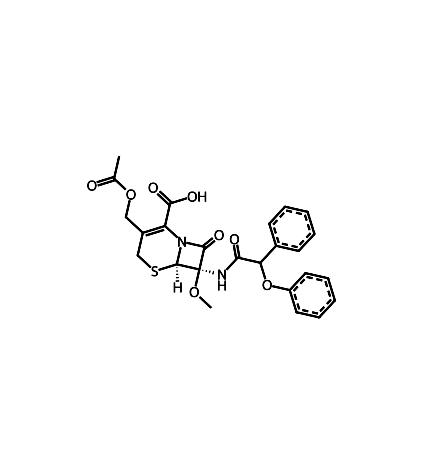 CO[C@]1(NC(=O)C(Oc2ccccc2)c2ccccc2)C(=O)N2C(C(=O)O)=C(COC(C)=O)CS[C@@H]21